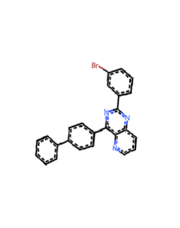 Brc1cccc(-c2nc(-c3ccc(-c4ccccc4)cc3)c3ncccc3n2)c1